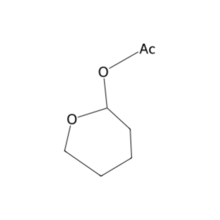 [CH2]C(=O)OC1CCCCO1